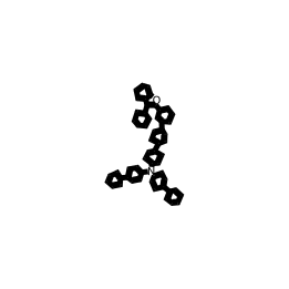 c1ccc(-c2ccc(N(c3ccc(-c4ccccc4)cc3)c3ccc(-c4ccc(-c5cccc(-c6oc7ccccc7c6-c6ccccc6)c5)cc4)cc3)cc2)cc1